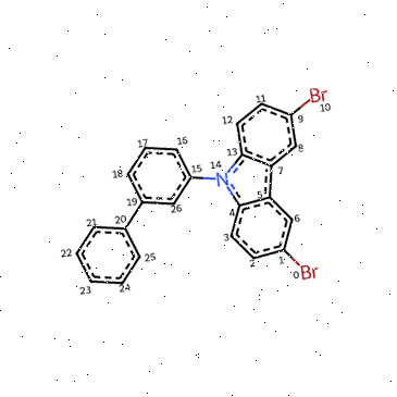 Brc1ccc2c(c1)c1cc(Br)ccc1n2-c1cccc(-c2ccccc2)c1